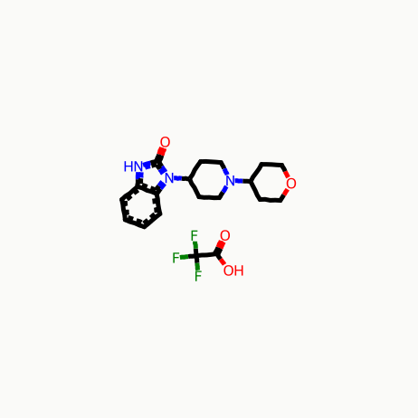 O=C(O)C(F)(F)F.O=c1[nH]c2ccccc2n1C1CCN(C2CCOCC2)CC1